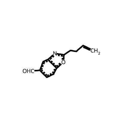 C=CCCc1nc2cc(C=O)ccc2o1